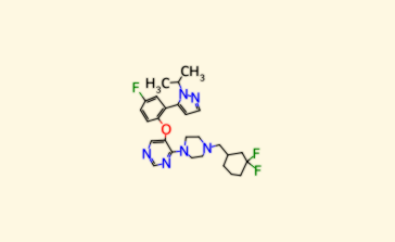 CC(C)n1nccc1-c1cc(F)ccc1Oc1cncnc1N1CCN(CC2CCCC(F)(F)C2)CC1